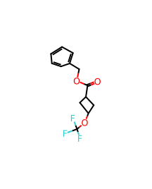 O=C(OCc1ccccc1)C1CC(OC(F)(F)F)C1